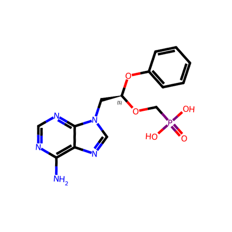 Nc1ncnc2c1ncn2C[C@H](OCP(=O)(O)O)Oc1ccccc1